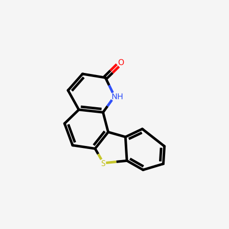 O=c1ccc2ccc3sc4ccccc4c3c2[nH]1